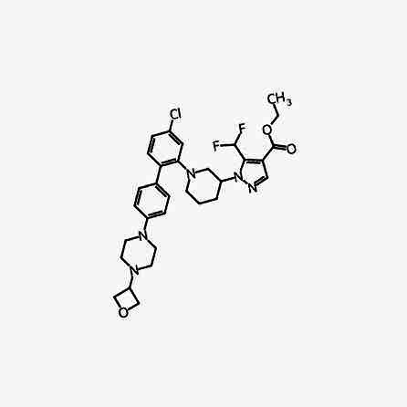 CCOC(=O)c1cnn(C2CCCN(c3cc(Cl)ccc3-c3ccc(N4CCN(C5COC5)CC4)cc3)C2)c1C(F)F